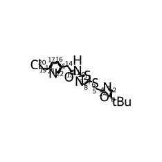 CC(C)(C)c1cnc(CSc2cnc(NC(=O)Cc3ccc(CCl)nc3)s2)o1